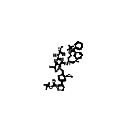 CCCC(CCO[Si](c1ccccc1)(c1ccccc1)C(C)(C)C)Nc1nc(NC(=O)OC)nc2c(I)nn(Cc3ccc(C4CCCN4C(=O)OC(C)(C)C)cc3OC)c12